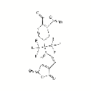 O=C1OC(=O)C2=C1C=CC(C(c1ccc3c(c1)C(=O)OC3=O)(C(F)(F)F)C(F)(F)F)C2